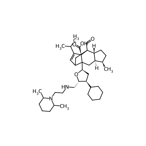 CC(C)C1=CC2CC3(C=O)[C@@H]4CC[C@@H](C)[C@H]4CC2([C@H]2C[C@@H](C4CCCCC4)[C@H](CNCCN4C(C)CCCC4C)O2)[C@]13C(=O)O